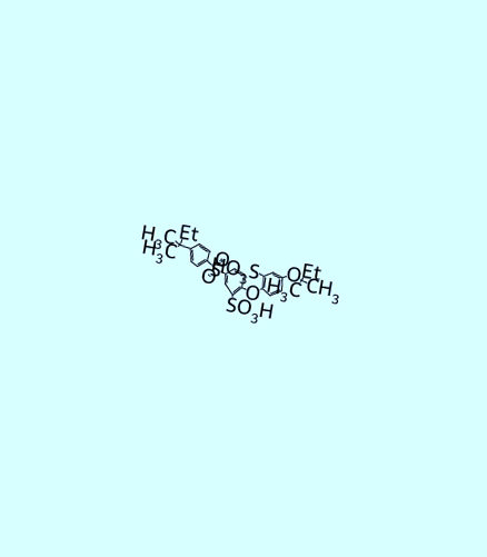 CCC(C)(C)Oc1ccc(Oc2ccc(S(=O)(=O)c3ccc(C(C)(C)CC)cc3)cc2S(=O)(=O)O)c(S(=O)(=O)O)c1